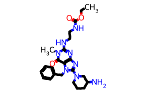 CCOC(=O)NCCNc1nc2nc(N3CCCC(N)C3)n(Cc3ccccc3)c2c(=O)n1C